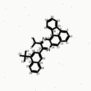 CC(C)c1nc2c3c4c(cccc4cc2nc1-c1cc(C(C)(C)C)c2ccccc2c1)-c1ccccc1-3